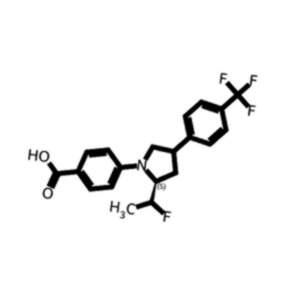 CC(F)[C@@H]1CC(c2ccc(C(F)(F)F)cc2)CN1c1ccc(C(=O)O)cc1